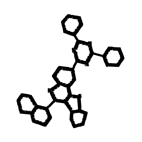 c1ccc(-c2nc(-c3ccccc3)nc(-c3ccc4nc(-c5cccc6ccccc56)c5c6ccccc6sc5c4c3)n2)cc1